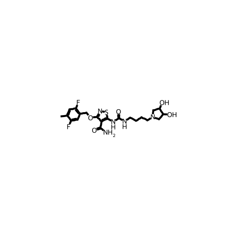 Cc1cc(F)c(COc2nsc(NC(=O)NCCCCN3CC(O)C(O)C3)c2C(N)=O)cc1F